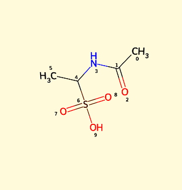 CC(=O)NC(C)S(=O)(=O)O